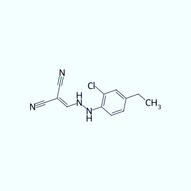 CCc1ccc(NNC=C(C#N)C#N)c(Cl)c1